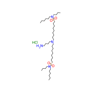 CCCCCCN(CCCC)S(=O)(=O)CCCCCCCCCN(CCCCN)CCCCCCCCCS(=O)(=O)N(CCCC)CCCCCC.Cl